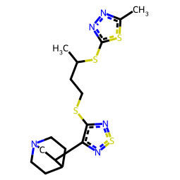 Cc1nnc(SC(C)CCSc2nsnc2C2CN3CCC2CC3)s1